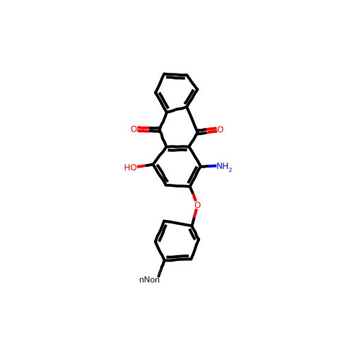 CCCCCCCCCc1ccc(Oc2cc(O)c3c(c2N)C(=O)c2ccccc2C3=O)cc1